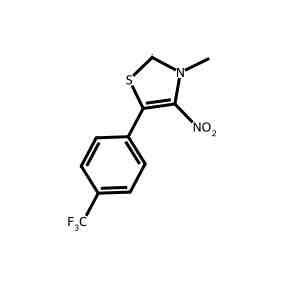 CN1[CH]SC(c2ccc(C(F)(F)F)cc2)=C1[N+](=O)[O-]